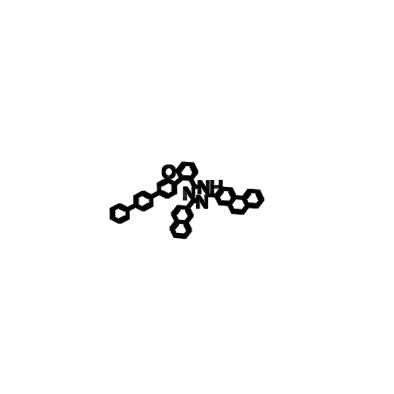 c1ccc(-c2ccc(-c3ccc4c(c3)oc3cccc(C5=NC(c6ccc7ccccc7c6)=NC(c6ccc7c(ccc8ccccc87)c6)N5)c34)cc2)cc1